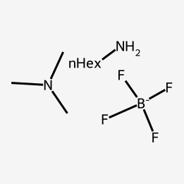 CCCCCCN.CN(C)C.F[B-](F)(F)F